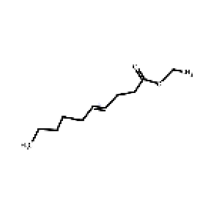 CCCCC/C=C/CCC(=O)OCC